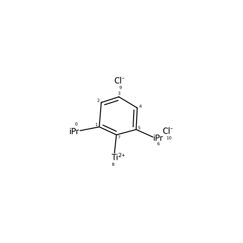 CC(C)c1cccc(C(C)C)[c]1[Ti+2].[Cl-].[Cl-]